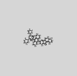 c1ccc(-c2cc(-c3ccccc3)nc(-c3c4ccccc4c(-c4ccc5sc6c7ccccc7ccc6c5c4)c4ccccc34)n2)cc1